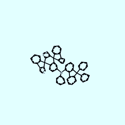 c1ccc(N(c2ccc3c(c2)C2(c4ccccc4-c4ccccc42)c2ccccc2C32c3ccccc3-c3ccccc32)c2cccc3c2-c2ccccc2C3(c2ccccc2)c2ccccc2)cc1